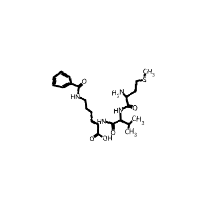 CSCCC(N)C(=O)NC(C(=O)NC(CCCCNC(=O)c1ccccc1)C(=O)O)C(C)C